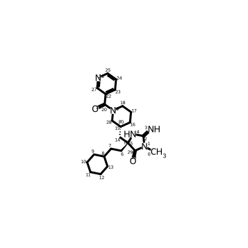 CN1C(=N)N[C@@](CCC2CCCCC2)(C[C@H]2CCCN(C(=O)c3cccnc3)C2)C1=O